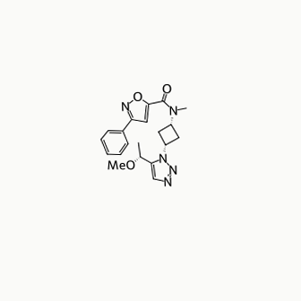 CO[C@H](C)c1cnnn1[C@H]1C[C@@H](N(C)C(=O)c2cc(-c3ccccc3)no2)C1